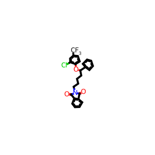 O=C1c2ccccc2C(=O)N1CCCCC(Oc1ccc(C(F)(F)F)cc1Cl)c1ccccc1